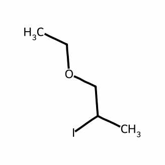 CCOCC(C)I